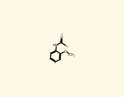 COc1ccccc1NC(=O)I